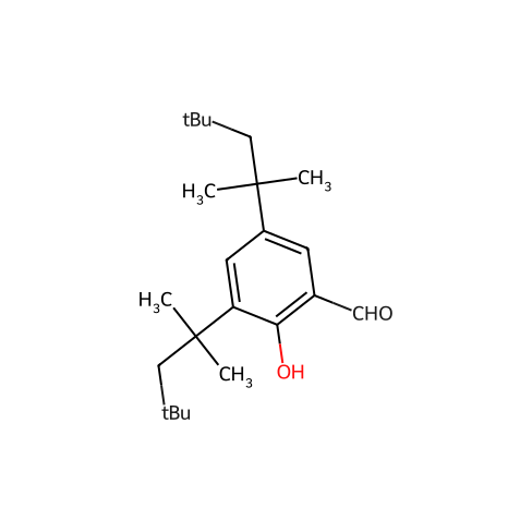 CC(C)(C)CC(C)(C)c1cc(C=O)c(O)c(C(C)(C)CC(C)(C)C)c1